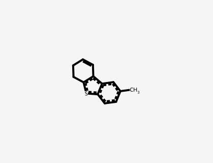 Cc1ccc2sc3c(c2c1)C=CCC3